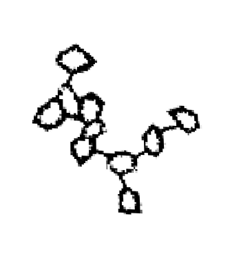 c1ccc(-c2ccc(-c3cc(-c4cccc5c4sc4ccc6c(-c7ccccc7)nc7ccccc7c6c45)nc(-c4ccccc4)n3)cc2)cc1